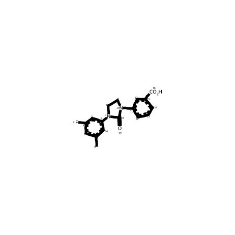 Cc1cc(F)cc(N2CCN(c3cccc(C(=O)O)c3)C2=O)c1